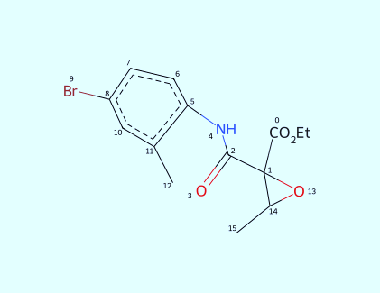 CCOC(=O)C1(C(=O)Nc2ccc(Br)cc2C)OC1C